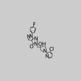 O=c1c2cnn(-c3ccc(F)cc3)c2ncn1CC1(O)CCN(c2ncccc2Cl)CC1